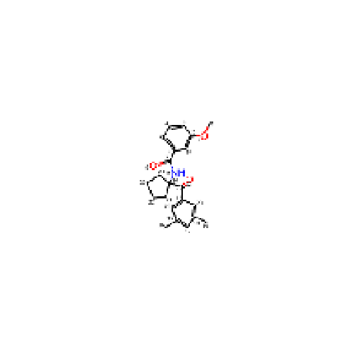 COc1cccc(C(=O)NC2(C(=O)c3cc(C)cc(C)c3)CCCC2)c1